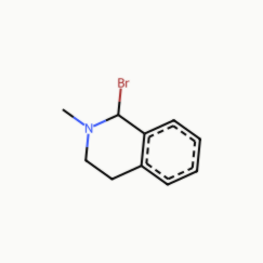 CN1CCc2ccccc2C1Br